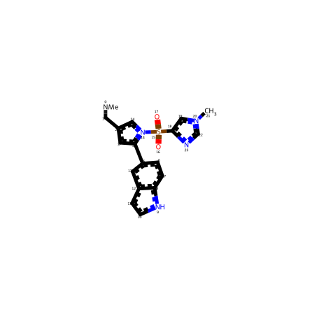 CNCc1cc(-c2ccc3[nH]ccc3c2)n(S(=O)(=O)c2cn(C)cn2)c1